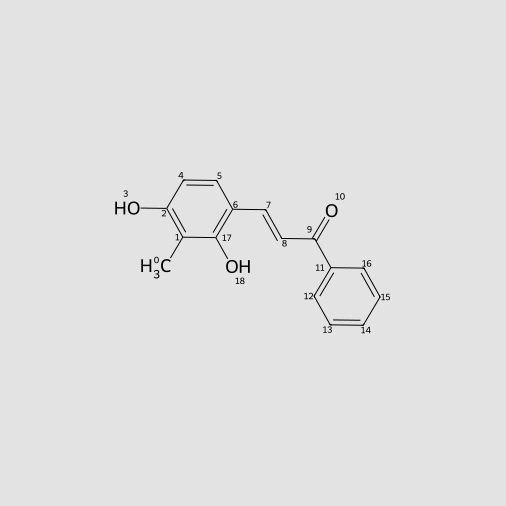 Cc1c(O)ccc(/C=C/C(=O)c2ccccc2)c1O